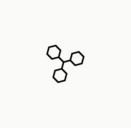 C1CCC([C](C2CCCCC2)C2CCCCC2)CC1